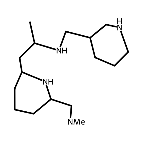 CNCC1CCCC(CC(C)NCC2CCCNC2)N1